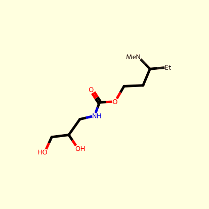 CCC(CCOC(=O)NCC(O)CO)NC